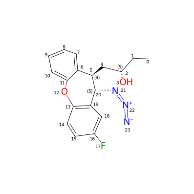 CC[C@H](O)C[C@@H]1c2ccccc2Oc2ccc(F)cc2[C@H]1N=[N+]=[N-]